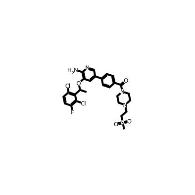 CC(Oc1cc(-c2ccc(C(=O)N3CCN(CCS(C)(=O)=O)CC3)cc2)cnc1N)c1c(Cl)ccc(F)c1Cl